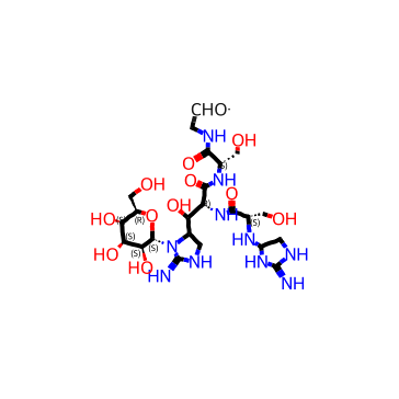 N=C1NCC(N[C@@H](CO)C(=O)N[C@@H](C(=O)N[C@@H](CO)C(=O)NC[C]=O)C(O)C2CNC(=N)N2[C@H]2O[C@H](CO)[C@@H](O)[C@H](O)[C@@H]2O)N1